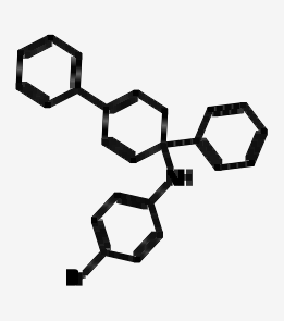 Brc1ccc(NC2(c3ccccc3)C=CC(c3ccccc3)=CC2)cc1